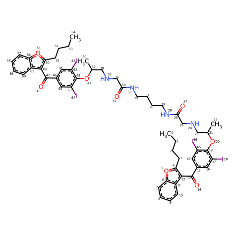 CCCCc1oc2ccccc2c1C(=O)c1cc(I)c(OC(C)CNCC(=O)NCCCCNC(=O)CNCC(C)Oc2c(I)cc(C(=O)c3c(CCCC)oc4ccccc34)cc2I)c(I)c1